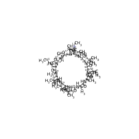 C/C=C/C[C@@H](C)C[C@H]1C(=O)N[C@@H](CC)C(=O)N(C)[C@H](COCCC)C(=O)N(C)[C@@H](CC(C)(C)O)C(=O)N[C@@H](C(C)C)C(=O)N(C)[C@@H](CC(C)C)C(=O)N[C@@H](C)C(=O)N[C@H](C)C(=O)N(C)[C@@H](CC(C)C)C(=O)N(C)[C@@H](CC(C)C)C(=O)N(C)[C@@H](C(C)C)C(=O)N1C